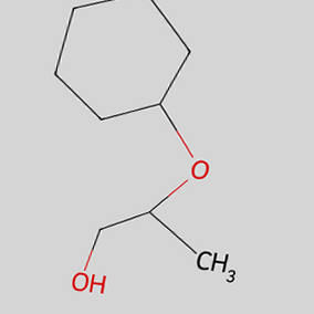 CC(CO)OC1CCCCC1